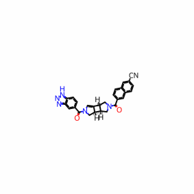 N#Cc1ccc2cc(C(=O)N3C[C@@H]4[C@@H]5CN(C(=O)c6ccc7[nH]nnc7c6)C=C5[C@@H]4C3)ccc2c1